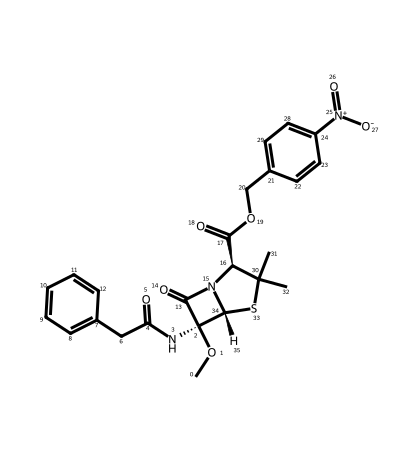 CO[C@@]1(NC(=O)Cc2ccccc2)C(=O)N2[C@@H](C(=O)OCc3ccc([N+](=O)[O-])cc3)C(C)(C)S[C@@H]21